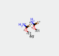 CCOC(N)=S.CCOC(N)=S.[Ag]